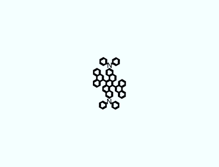 c1ccc(N(c2ccccc2)c2ccc3c(ccc4c(-c5cc6ccccc6c6ccccc56)c5c(ccc6cc(N(c7ccccc7)c7ccccc7)ccc65)c(-c5cc6ccccc6c6ccccc56)c43)c2)cc1